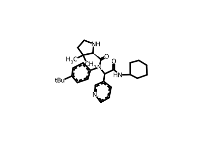 CC(C)(C)c1ccc(N(C(=O)[C@@H]2NCCC2(C)C)C(C(=O)NC2CCCCC2)c2cccnc2)cc1